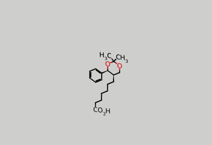 CC1(C)OC[C@@H](CCCCCCC(=O)O)[C@@H](c2ccccc2)O1